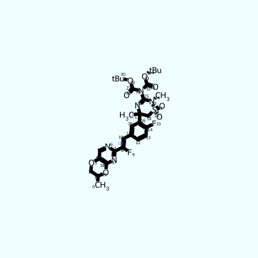 CC1COc2cnc(/C(F)=C/c3ccc(F)c(C4(C)CS(=O)(=O)N(C)C(N(C(=O)OC(C)(C)C)C(=O)OC(C)(C)C)=N4)c3)nc2O1